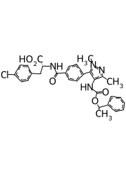 Cc1nn(C)c(-c2ccc(C(=O)N[C@H](Cc3ccc(Cl)cc3)C(=O)O)cc2)c1NC(=O)O[C@H](C)c1ccccc1